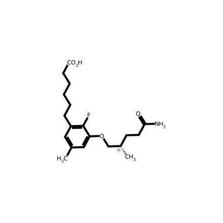 Cc1cc(CCCCCC(=O)O)c(F)c(OC[C@@H](C)CCC(N)=O)c1